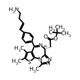 Cc1sc2c(c1C)C(c1ccc(C=CCCN)cc1)=N[C@H](CC(=O)OC(C)(C)C)c1nnc(C)n1-2